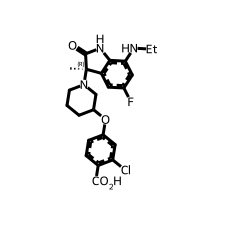 CCNc1cc(F)cc2c1NC(=O)[C@]2(C)N1CCCC(Oc2ccc(C(=O)O)c(Cl)c2)C1